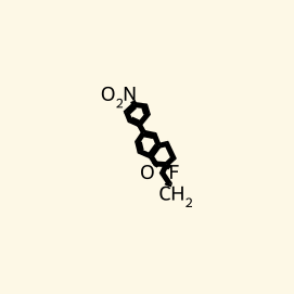 C=CCC1(F)CCc2cc(-c3ccc([N+](=O)[O-])cc3)ccc2C1=O